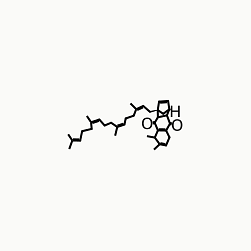 CC(C)=CCCC(C)=CCCC(C)=CCCC(C)=CC[C@@]12C=C[C@@H](C1)C1C(=O)C3=C(C(=O)C12)C(C)C(C)=CC3